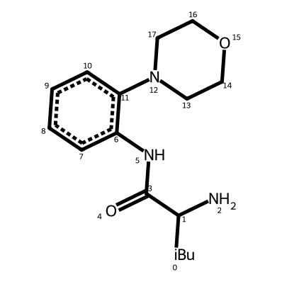 CCC(C)C(N)C(=O)Nc1ccccc1N1CCOCC1